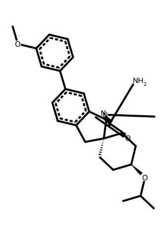 COc1cccc(-c2ccc3c(c2)C2(N=C(N)N(C)C2=O)[C@]2(CC[C@H](OC(C)C)CC2)C3)c1